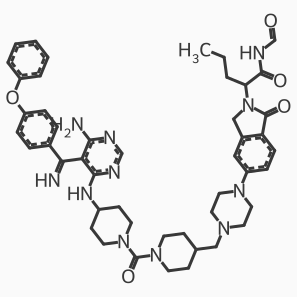 CCCC(C(=O)NC=O)N1Cc2cc(N3CCN(CC4CCN(C(=O)N5CCC(Nc6ncnc(N)c6C(=N)c6ccc(Oc7ccccc7)cc6)CC5)CC4)CC3)ccc2C1=O